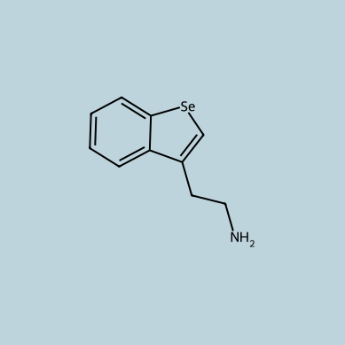 NCCc1c[se]c2ccccc12